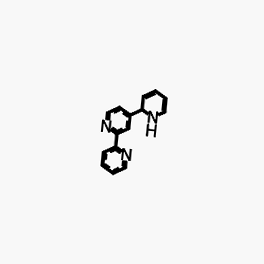 C1=CNC(c2ccnc(-c3ccccn3)c2)C=C1